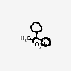 C/C(C(=O)O)=C(/c1ccccc1)C1CCCCCC1